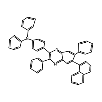 c1ccc(-c2cc3nc(-c4ccc(N(c5ccccc5)c5ccccc5)cc4)c(-c4ccccc4)nc3cc2-c2cccc3ccccc23)cc1